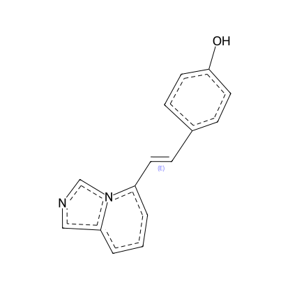 Oc1ccc(/C=C/c2cccc3cncn23)cc1